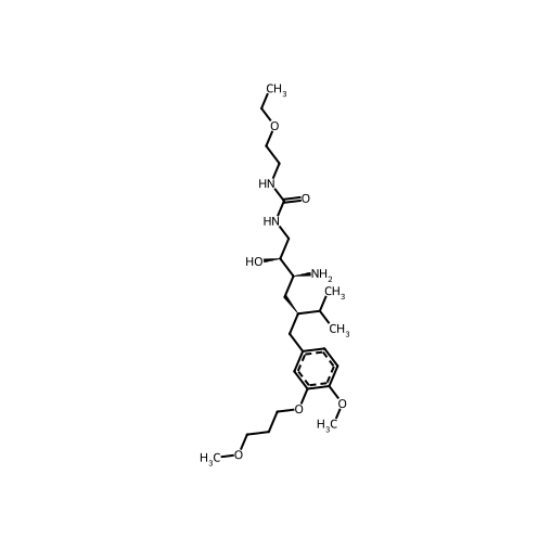 CCOCCNC(=O)NC[C@H](O)[C@@H](N)C[C@H](Cc1ccc(OC)c(OCCCOC)c1)C(C)C